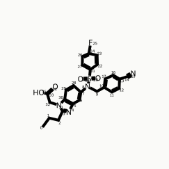 CCCc1nc2cc(N(Cc3ccc(C#N)cc3)S(=O)(=O)c3ccc(F)cc3)ccc2n1CC(=O)O